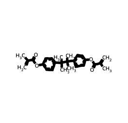 C=C(C)C(=O)Oc1ccc(C(C)(C)C(C)(C)c2ccc(OC(=O)C(=C)C)cc2)cc1